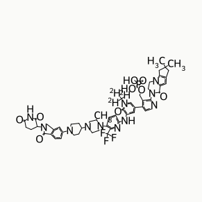 [2H]C([2H])([2H])n1cc(-c2ccnc(N3CCn4c(cc5c4CC(C)(C)C5)C3=O)c2COP(=O)(O)O)cc(Nc2ccc(N3CCN(C4CCN(c5ccc6c(c5)CN(C5CCC(=O)NC5=O)C6=O)CC4)C[C@@H]3C)c(C(F)(F)F)n2)c1=O